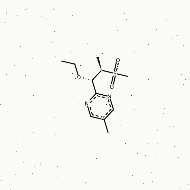 CCO[C@@H](c1ncc(C)cn1)[C@@H](C)S(C)(=O)=O